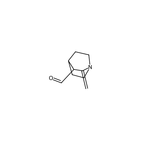 C=C1C(C=O)C2CCN1CC2